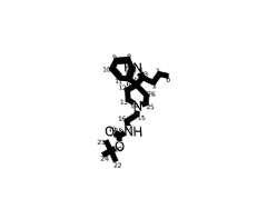 CCCC(=N)C1(c2ccccc2)CCN(CCNC(=O)OC(C)(C)C)CC1